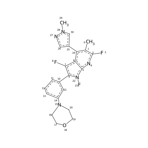 Cc1c(F)nc2c(c(F)c(-c3cccc(N4CCOCC4)c3)n2F)c1-c1cnn(C)c1